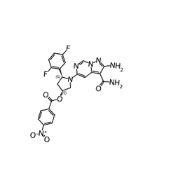 NC(=O)c1c(N)nn2cnc(N3C[C@@H](OC(=O)c4ccc([N+](=O)[O-])cc4)C[C@H]3c3cc(F)ccc3F)cc12